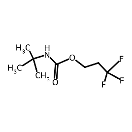 CC(C)(C)NC(=O)OCCC(F)(F)F